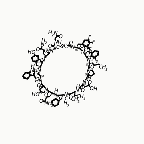 CCCC[C@H]1C(=O)N2CCC[C@@H]2C(=O)N[C@@H](CC(=O)O)C(=O)N[C@@H](C(C)C)C(=O)N(C)[C@@H](Cc2ccccc2)C(=O)N[C@@H](CCC(N)=O)C(=O)N2C[C@H](O)C[C@H]2C(=O)N[C@@H](Cc2c[nH]c3ccccc23)C(=O)N[C@@H](Cc2ccc(O)cc2)C(=O)N[C@@H](CCC(N)=O)C(=O)N[C@H](C(=O)NCC(N)=O)CSCC(=O)N[C@@H](Cc2cc(F)c(F)c(F)c2)C(=O)N(C)[C@@H](Cc2ccccc2)C(=O)N1C